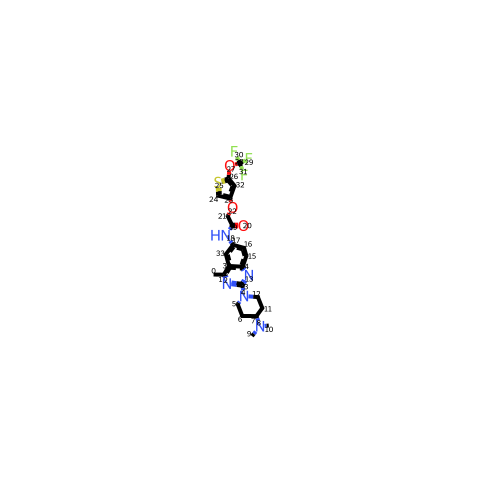 Cc1nc(N2CCC(N(C)C)CC2)nc2ccc(NC(=O)COc3csc(OC(F)(F)F)c3)cc12